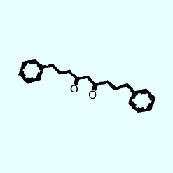 O=C(CCCc1ccccc1)CC(=O)CCCc1ccccc1